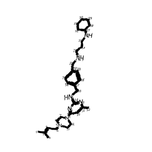 CC(C)=CCN1CCN(c2cc(C)nc(NCc3ccc(CNCCCNC4CCCCC4)cc3)n2)CC1